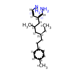 CC[C@@H](CCc1ccc(C)cc1)CC(C)CC(/C=C\N)=C/N